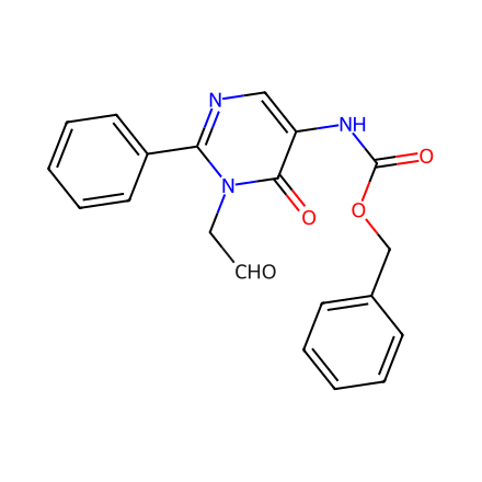 O=CCn1c(-c2ccccc2)ncc(NC(=O)OCc2ccccc2)c1=O